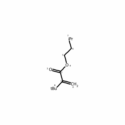 C=C(C(=O)OCCC(C)C)C(C)(C)C